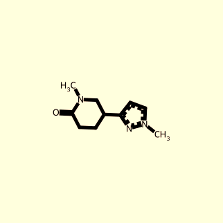 CN1CC(c2ccn(C)n2)CCC1=O